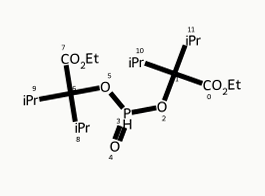 CCOC(=O)C(O[PH](=O)OC(C(=O)OCC)(C(C)C)C(C)C)(C(C)C)C(C)C